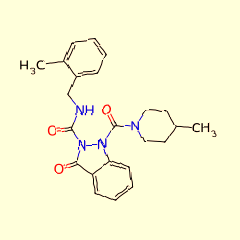 Cc1ccccc1CNC(=O)n1c(=O)c2ccccc2n1C(=O)N1CCC(C)CC1